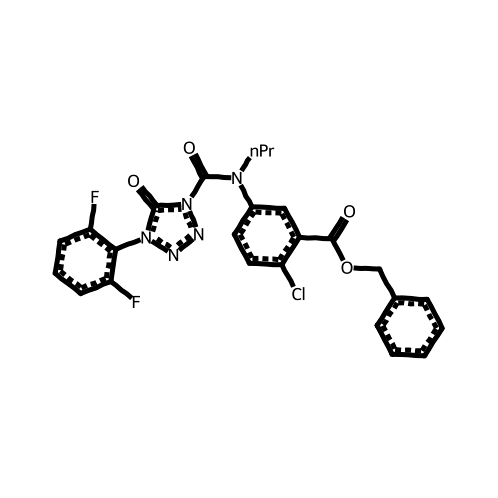 CCCN(C(=O)n1nnn(-c2c(F)cccc2F)c1=O)c1ccc(Cl)c(C(=O)OCc2ccccc2)c1